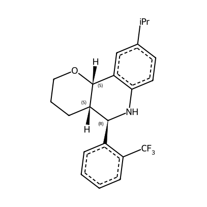 CC(C)c1ccc2c(c1)[C@H]1OCCC[C@H]1[C@H](c1ccccc1C(F)(F)F)N2